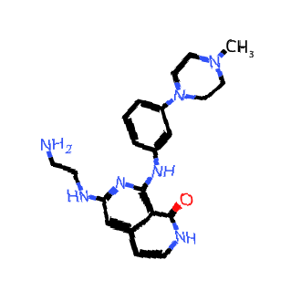 CN1CCN(c2cccc(Nc3nc(NCCN)cc4cc[nH]c(=O)c34)c2)CC1